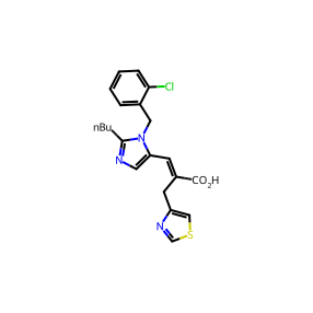 CCCCc1ncc(C=C(Cc2cscn2)C(=O)O)n1Cc1ccccc1Cl